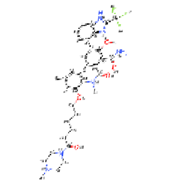 COc1c(-c2cccc3[nH]c(C(F)(F)F)nc23)ccc(C(=O)N(C)c2ccc(C)cc2OCCCCCC(=O)N2CCN(C)CC2)c1C(N)=O